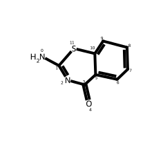 Nc1nc(=O)c2ccccc2s1